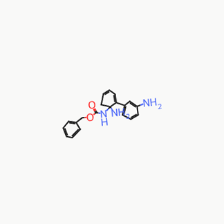 Nc1cccc(C2=CC=CCC2(N)NC(=O)OCc2ccccc2)c1